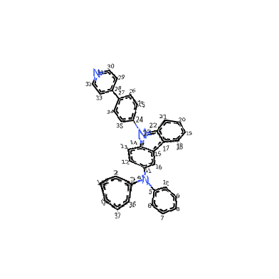 c1ccc(N(c2ccccc2)c2ccc3c(c2)c2ccccc2n3-c2ccc(-c3ccncc3)cc2)cc1